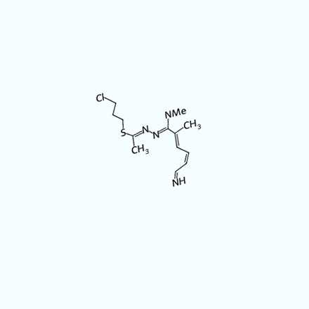 CNC(=N\N=C(/C)SCCCCl)/C(C)=C/C=C\C=N